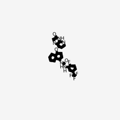 O=C(Nc1cc(C(F)(F)F)ccc1F)Nc1ccc(Oc2ccnc3[nH]c(=O)cnc23)c2ccccc12